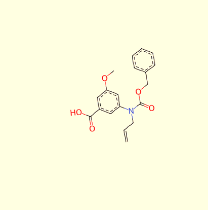 C=CCN(C(=O)OCc1ccccc1)c1cc(OC)cc(C(=O)O)c1